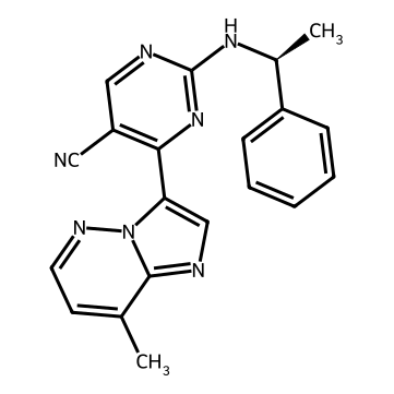 Cc1ccnn2c(-c3nc(N[C@@H](C)c4ccccc4)ncc3C#N)cnc12